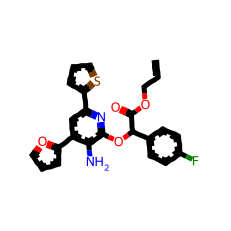 C=CCOC(=O)C(Oc1nc(-c2cccs2)cc(-c2ccco2)c1N)c1ccc(F)cc1